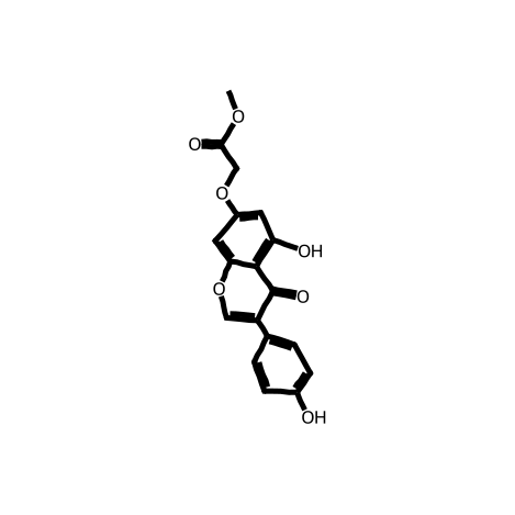 COC(=O)COc1cc(O)c2c(=O)c(-c3ccc(O)cc3)coc2c1